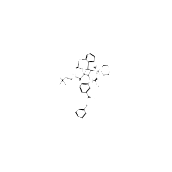 CC(=O)N1C(C(=O)NCCC(C)(C)C)C(N(C(N)=O)c2cccc(C(=O)OCc3ccccc3)c2)C(S(=O)(=O)N2CCOCC2)C1c1ccccc1F